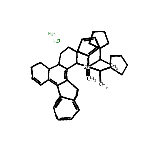 Cl.Cl.[CH2]=[Zr]([C]1=CC=CC1)([CH]1CCCC2C1=C1Cc3ccccc3C1=C1C=CCCC12)([CH](C)C1CCCC1)[CH](C)C1CCCC1